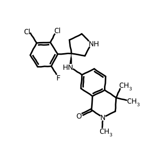 CN1CC(C)(C)c2ccc(N[C@@]3(c4c(F)ccc(Cl)c4Cl)CCNC3)cc2C1=O